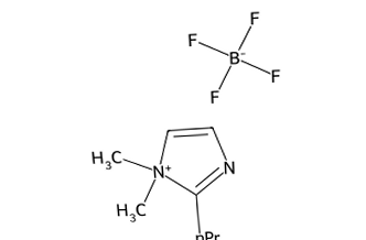 CCCC1=NC=C[N+]1(C)C.F[B-](F)(F)F